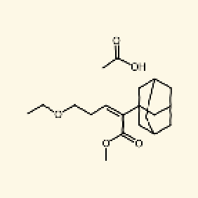 CC(=O)O.CCOCCC=C(C(=O)OC)C12CC3CC(CC(C3)C1)C2